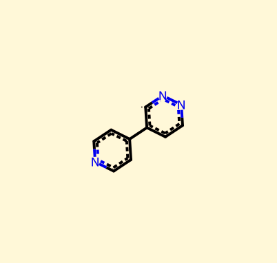 [c]1nnccc1-c1ccncc1